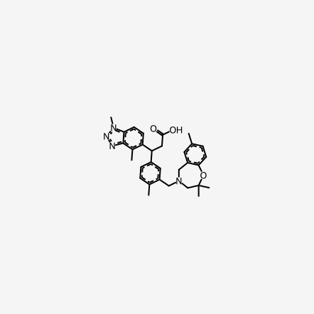 Cc1ccc2c(c1)CN(Cc1cc(C(CC(=O)O)c3ccc4c(nnn4C)c3C)ccc1C)CC(C)(C)O2